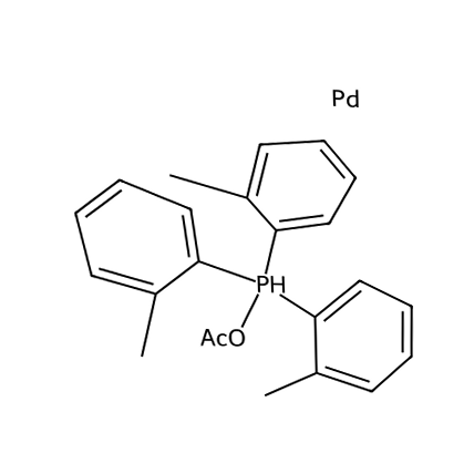 CC(=O)O[PH](c1ccccc1C)(c1ccccc1C)c1ccccc1C.[Pd]